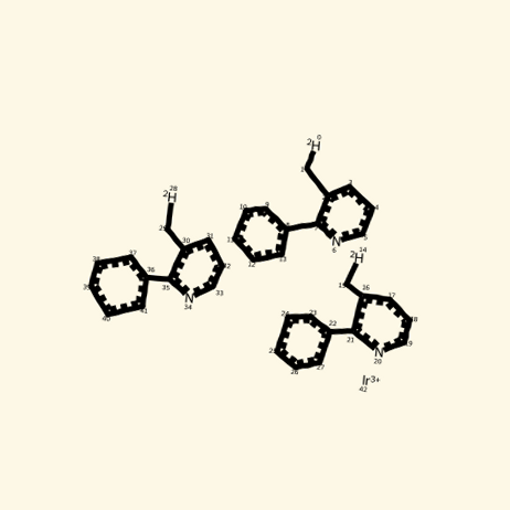 [2H]Cc1cccnc1-c1ccccc1.[2H]Cc1cccnc1-c1ccccc1.[2H]Cc1cccnc1-c1ccccc1.[Ir+3]